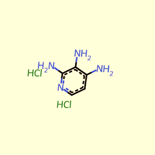 Cl.Cl.Nc1ccnc(N)c1N